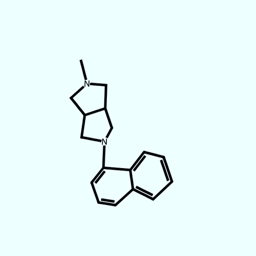 CN1CC2CN(c3cccc4ccccc34)CC2C1